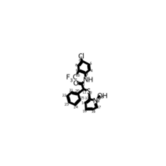 O=C(Nc1ccc(Cl)cc1C(F)(F)F)C(Sc1cccc[n+]1O)c1ccccc1